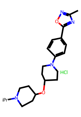 Cc1noc(-c2ccc(N3CCC(OC4CCN(C(C)C)CC4)CC3)cc2)n1.Cl